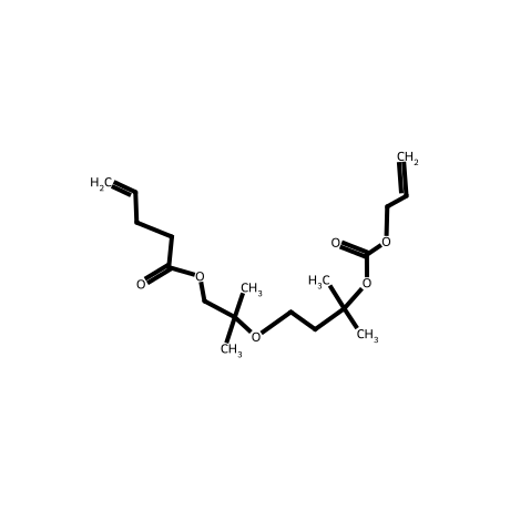 C=CCCC(=O)OCC(C)(C)OCCC(C)(C)OC(=O)OCC=C